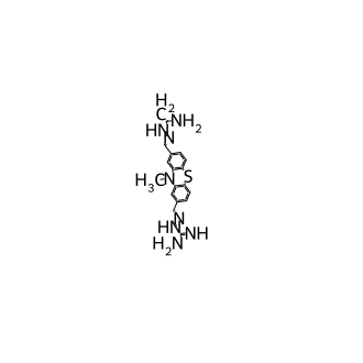 C=C(N)N/N=C/c1ccc2c(c1)N(C)c1cc(/C=N/NC(=N)N)ccc1S2